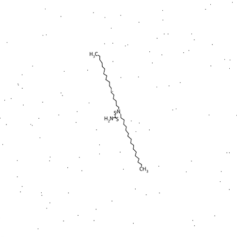 CCCCCCCCCCCCCCCCCCN(CCCCCCCCCCCCCCCCCC)SC(N)=S